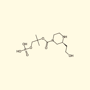 CC(C)(COP(=O)(O)O)OC(=O)N1CCN[C@@H](CCO)C1